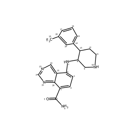 NC(=O)c1ccc(NC2CNCCC2c2cccc(C(F)(F)F)c2)c2cncnc12